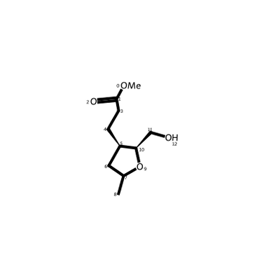 COC(=O)CC[C@@H]1CC(C)O[C@@H]1CO